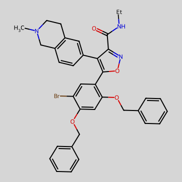 CCNC(=O)c1noc(-c2cc(Br)c(OCc3ccccc3)cc2OCc2ccccc2)c1-c1ccc2c(c1)CCN(C)C2